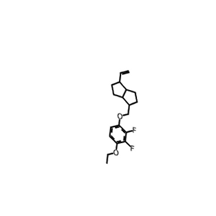 C=CC1CCC2C(COc3ccc(OCC)c(F)c3F)CCC12